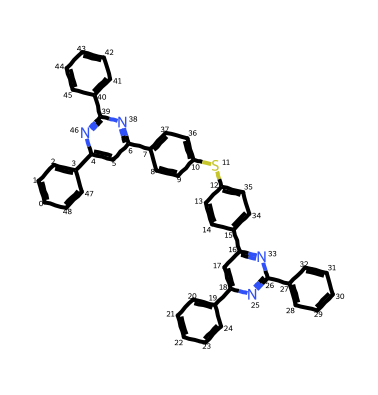 c1ccc(-c2cc(-c3ccc(Sc4ccc(-c5cc(-c6ccccc6)nc(-c6ccccc6)n5)cc4)cc3)nc(-c3ccccc3)n2)cc1